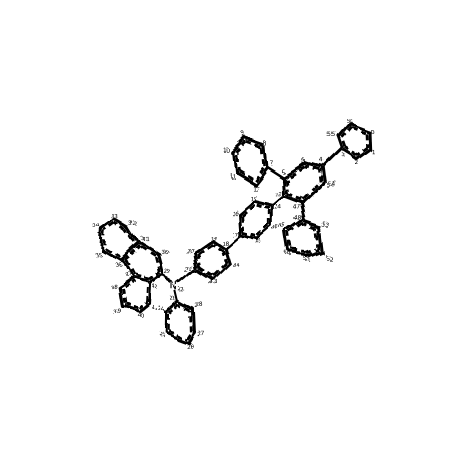 c1ccc(-c2cc(-c3ccccc3)c(-c3ccc(-c4ccc(N(c5ccccc5)c5cc6ccccc6c6ccccc56)cc4)cc3)c(-c3ccccc3)c2)cc1